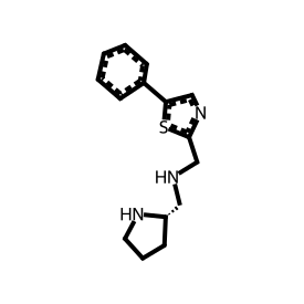 c1ccc(-c2cnc(CNC[C@@H]3CCCN3)s2)cc1